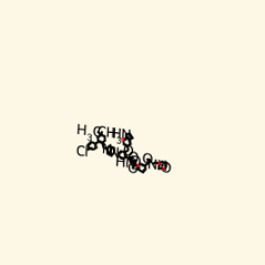 CC1(C)CCC(CN2CCN(c3ccc(C(=O)NS(=O)(=O)c4cccc(C(=O)NCC5CCOCC5)c4)c(Oc4ccc5[nH]ccc5c4)c3)CC2)=C(c2ccc(Cl)cc2)C1